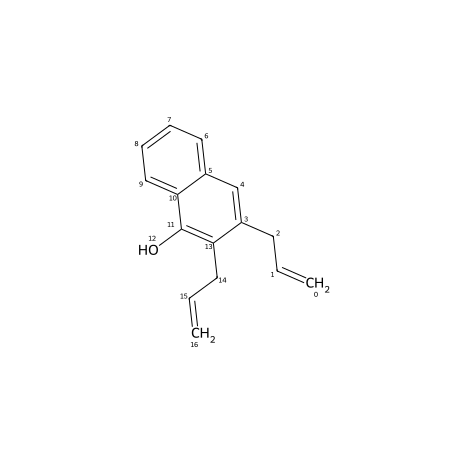 C=CCc1cc2ccccc2c(O)c1CC=C